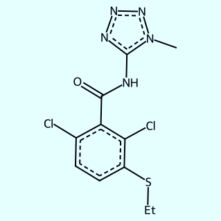 CCSc1ccc(Cl)c(C(=O)Nc2nnnn2C)c1Cl